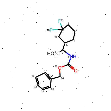 O=C(NC(C(=O)O)C1CCCC(F)(F)C1)OCc1ccccc1